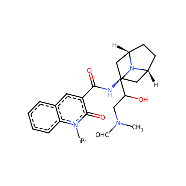 CC(C)n1c(=O)c(C(=O)N[C@@H]2C[C@H]3CC[C@@H](C2)N3CC(O)CN(C)C=O)cc2ccccc21